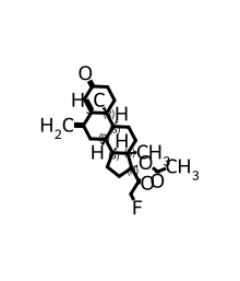 C=C1C[C@@H]2[C@H](CC[C@@]3(C)[C@H]2CC[C@]3(OC(C)=O)C(=O)CF)[C@@]2(C)CCC(=O)C=C12